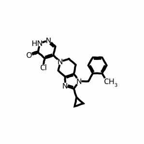 Cc1ccccc1Cn1c(C2CC2)nc2c1CCN(c1cn[nH]c(=O)c1Cl)C2